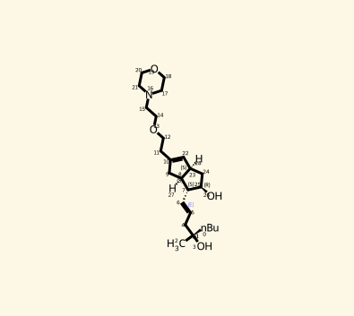 CCCC[C@](C)(O)C/C=C/[C@@H]1[C@H]2CC(CCOCCN3CCOCC3)=C[C@H]2C[C@H]1O